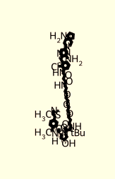 Cc1ncsc1-c1ccc([C@H](C)NC(=O)[C@@H]2C[C@@H](O)CN2C(=O)[C@@H](NC(=O)CCOCCOCCOCCNC(=O)CC(=O)Nc2cccc(Sc3ncc(N4CCC5(CCC[C@@H]5N)CC4)nc3N)c2Cl)C(C)(C)C)cc1